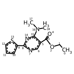 CCOC(=O)c1cnc(-c2cccs2)nc1N(C)C